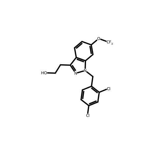 OCCc1nn(Cc2ccc(Cl)cc2Cl)c2cc(OC(F)(F)F)ccc12